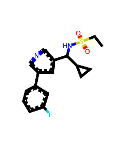 CCS(=O)(=O)NC(c1cncc(-c2cccc(F)c2)c1)C1CC1